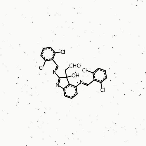 O=CCC1(O)C(N=Cc2c(Cl)cccc2Cl)=Nc2cccc(N=Cc3c(Cl)cccc3Cl)c21